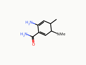 CNC1C=C(C(N)=O)C(N)=CC1C